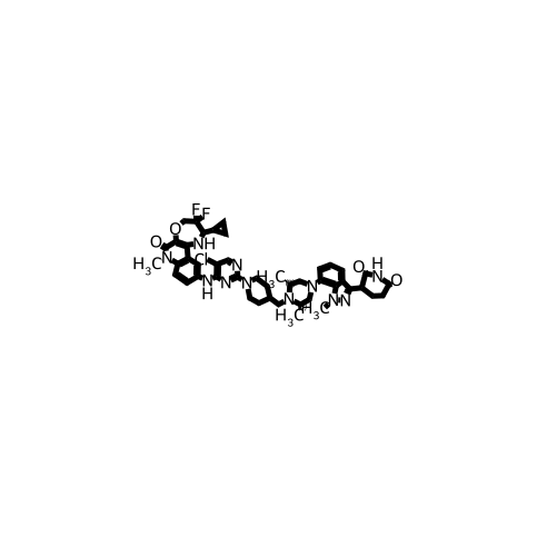 C[C@@H]1CN(c2cccc3c(C4CCC(=O)NC4=O)nn(C)c23)C[C@H](C)N1CC1CCN(c2ncc(Cl)c(Nc3ccc4c(c3)c3c(c(=O)n4C)OCC(F)(F)C(C4CC4)N3)n2)CC1